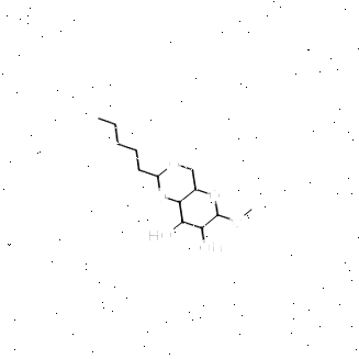 CCCCCC1OCC2OC(OC)C(O)C(O)C2O1